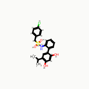 CC(C)c1cc(-c2ccccc2NS(=O)(=O)Cc2ccc(Cl)cc2)c(O)cc1O